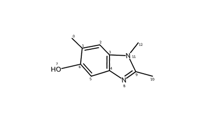 Cc1cc2c(cc1O)nc(C)n2C